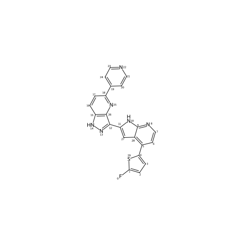 Fc1ccc(-c2ccnc3[nH]c(-c4n[nH]c5ccc(-c6ccncc6)nc45)cc23)s1